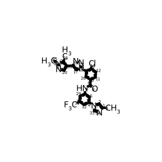 Cc1cn(-c2cc(NC(=O)c3ccc(Cl)c(-n4cc(-c5cnn(C)c5C)nn4)c3)cc(C(F)(F)F)c2)cn1